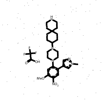 COc1cc(N2CCN(C3CCC4(CCNCC4)CC3)CC2)c(-c2cnn(C)c2)cc1[N+](=O)[O-].O=C(O)C(F)(F)F